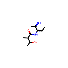 C/C=C(/NC(=O)C(C)C(C)O)C(C)=N